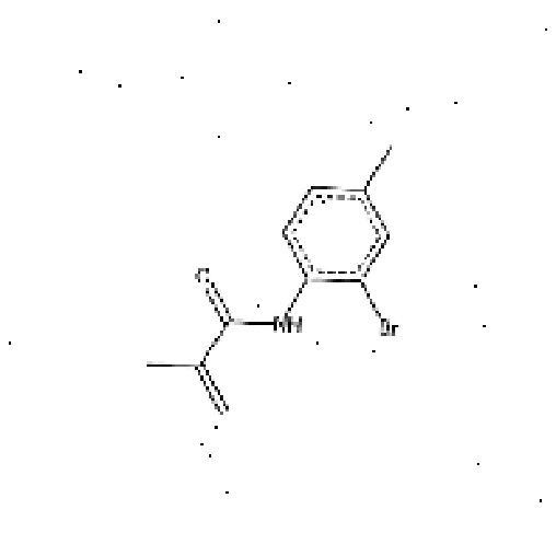 C=C(C)C(=O)Nc1ccc(C)cc1Br